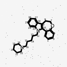 c1ccc2c(c1)OCCc1c-2n(CCCCCN2CCCCC2)c2ccccc12